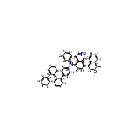 c1ccc(-c2ccccc2-c2ccccc2-c2ccc(N(c3ccccc3)c3ccc(-c4cccc5cccc(-c6ccccn6)c45)cc3)cc2)cc1